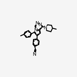 Cc1ccc(-c2c(-c3ccc(C#N)cc3)cc3c(N4CCC(C)CC4)nncn23)cc1